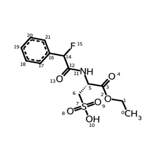 CCOC(=O)[C@H](CS(=O)(=O)O)NC(=O)C(F)c1ccccc1